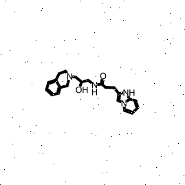 O=C(CCC1=CN2C=CC=CC2N1)NCC(O)CN1CCc2ccccc2C1